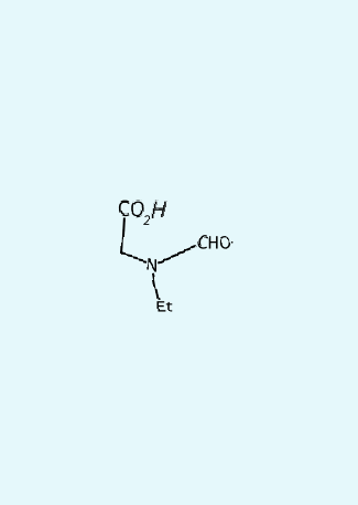 CCN([C]=O)CC(=O)O